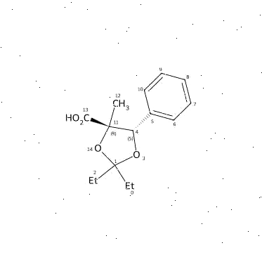 CCC1(CC)O[C@@H](c2ccccc2)[C@](C)(C(=O)O)O1